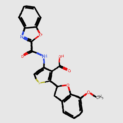 COc1cccc2c1OC(c1scc(NC(=O)c3nc4ccccc4o3)c1C(=O)O)C2